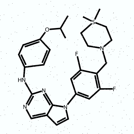 CC(C)Oc1ccc(Nc2ncc3ccn(-c4cc(F)c(CN5CCS(C)(C)CC5)c(F)c4)c3n2)cc1